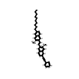 CCCCCCCCCCc1ccc2cc(/C=C/c3cc4ccc(C#Cc5ccccc5)cc4cc3SC)c(SC)cc2c1